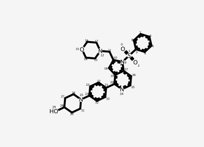 O=S(=O)(c1ccccc1)n1c(CN2CCOCC2)cc2c(-c3ccc(N4CCC(O)CC4)cc3)nccc21